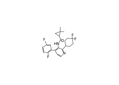 CC1(C)CC1C(=O)Nc1c(-c2cc(F)ccc2F)ccnc1C1CCC(F)(F)CC1